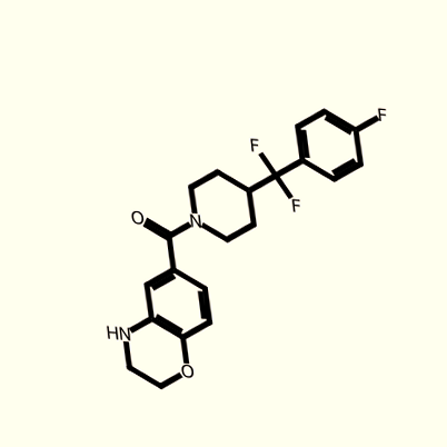 O=C(c1ccc2c(c1)NCCO2)N1CCC(C(F)(F)c2ccc(F)cc2)CC1